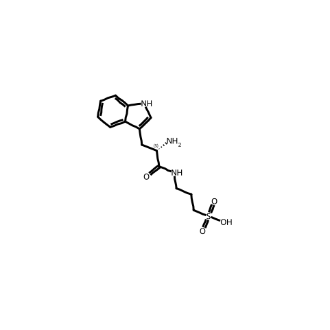 N[C@@H](Cc1c[nH]c2ccccc12)C(=O)NCCCS(=O)(=O)O